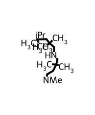 CNCCC(C)(C)CNCC(C)(C)CC(C)(C)C(C)C